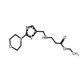 CCOC(=O)CCNCc1cnc(N2CCOCC2)s1